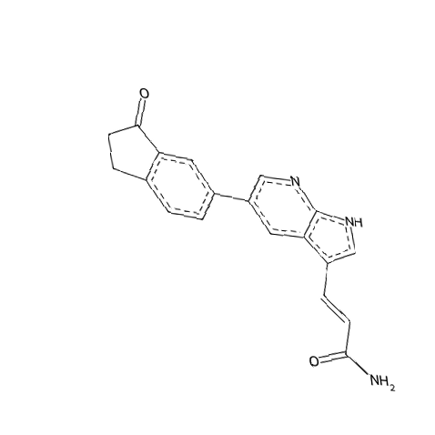 NC(=O)C=Cc1c[nH]c2ncc(-c3ccc4c(c3)C(=O)CC4)cc12